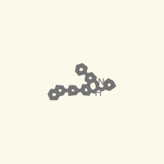 c1ccc(-c2ccc3c(c2)-c2cc(-c4ccc(-c5ccc6ccccc6c5)cc4)ccc2C[C@H]2Cc4ccccc4N=C32)cc1